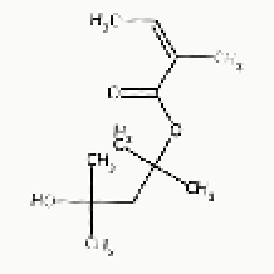 CC=C(C)C(=O)OC(C)(C)CC(C)(C)O